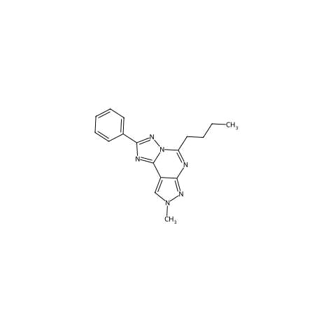 CCCCc1nc2nn(C)cc2c2nc(-c3ccccc3)nn12